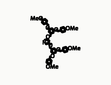 COc1ccc(COc2cc(COc3cncc(OCc4cc(OCc5ccc(OC)cc5)cc(OCc5ccc(OC)cc5)c4)c3)cc(OCc3ccc(OC)cc3)c2)cc1